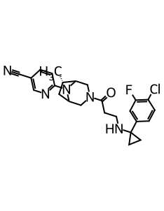 C[C@H]1CC2CN(C(=O)CCNC3(c4ccc(Cl)c(F)c4)CC3)CC1N2c1ccc(C#N)cn1